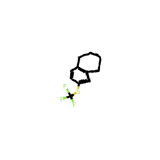 FC(F)(F)Sc1ccc2c(c1)CCC[CH]2